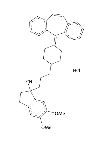 COc1cc2c(cc1OC)C(C#N)(CCCN1CCC(=C3c4ccccc4C=Cc4ccccc43)CC1)CC2.Cl